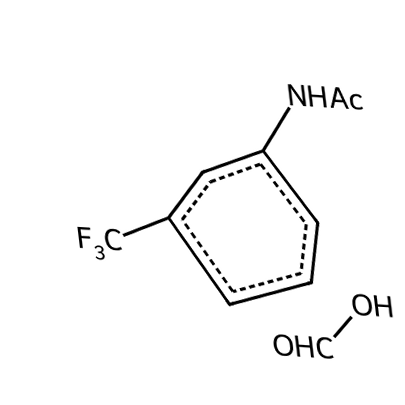 CC(=O)Nc1cccc(C(F)(F)F)c1.O=CO